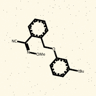 CO/N=C(/C#N)c1ccccc1COc1cccc(C(C)(C)C)c1